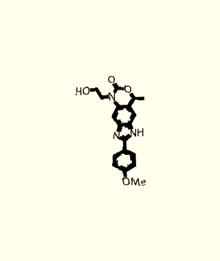 COc1ccc(-c2nc3cc4c(cc3[nH]2)C(C)OC(=O)N4CCO)cc1